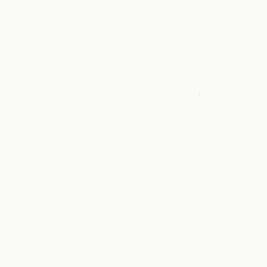 CC(C)(C)c1ccc2c(c1)[CH]([Zr+2])c1c-2ccc(C(C)(C)C)c1C1=CC(c2ccccc2)=CC1.[Cl-].[Cl-]